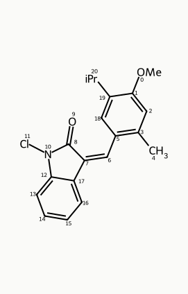 COc1cc(C)c(C=C2C(=O)N(Cl)c3ccccc32)cc1C(C)C